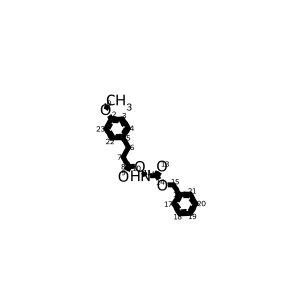 COc1ccc(CCC(=O)ONC(=O)OCc2ccccc2)cc1